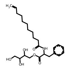 C=CCCCCCCCCC(=O)NC(Cc1ccccc1)C(=O)OCC(O)C(O)CO